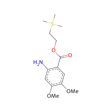 COc1cc(N)c(C(=O)OCCS(C)(C)C)cc1OC